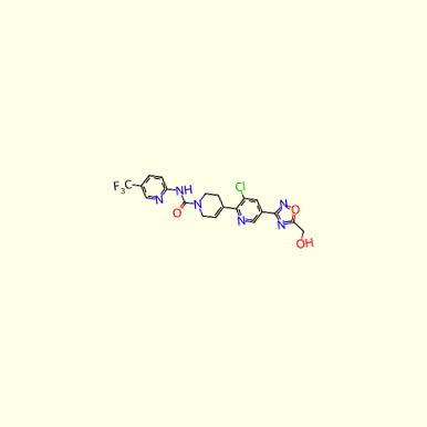 O=C(Nc1ccc(C(F)(F)F)cn1)N1CC=C(c2ncc(-c3noc(CO)n3)cc2Cl)CC1